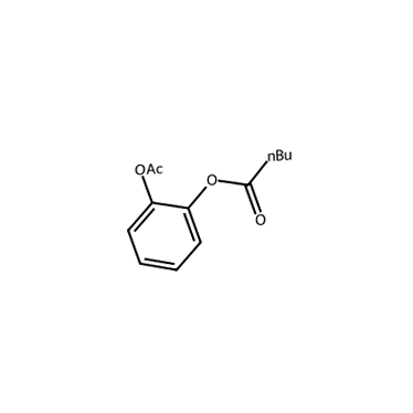 CCCCC(=O)Oc1ccccc1OC(C)=O